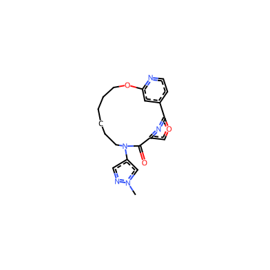 Cn1cc(N2CCCCCCOc3cc(ccn3)-c3nc(co3)C2=O)cn1